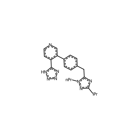 CCCn1nc(C(C)C)nc1Cc1ccc(-c2cnccc2-c2nnn[nH]2)cc1